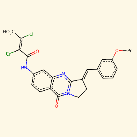 CC(C)Oc1cccc(C=C2CCn3c2nc2cc(NC(=O)C(Cl)=C(Cl)C(=O)O)ccc2c3=O)c1